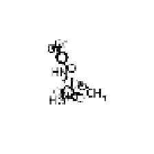 CCOCOC[C@H](C[C@H](Cc1ccoc1)C(=O)NO)NC(=O)c1ccc([N+](=O)[O-])cc1